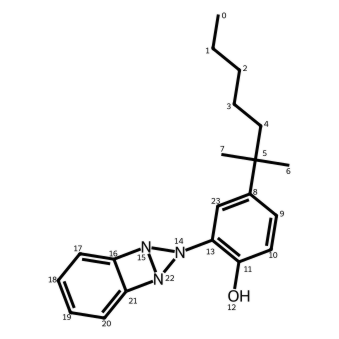 CCCCCC(C)(C)c1ccc(O)c(-n2n3c4ccccc4n23)c1